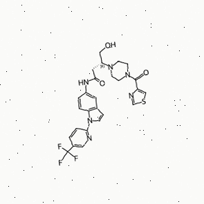 O=C(C[C@H](CO)N1CCN(C(=O)c2cscn2)CC1)Nc1ccc2c(ccn2-c2ccc(C(F)(F)F)cn2)c1